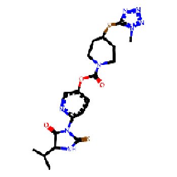 CC(C)C1NC(=S)N(c2ccc(OC(=O)N3CCC(Sc4nnnn4C)CC3)cn2)C1=O